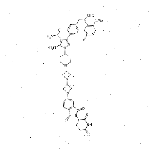 COc1ccc(F)cc1N(C=O)Cc1ccc(-c2nn(C3CCN(C4CN(C5CN(c6ccc7c(c6)C(=O)N(C6CCC(=O)NC6=O)C7=O)C5)C4)CC3)c(N)c2C(N)=O)cc1